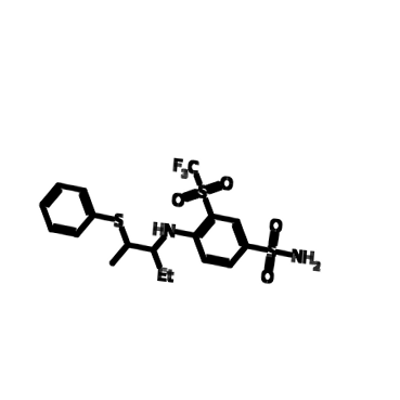 CCC(Nc1ccc(S(N)(=O)=O)cc1S(=O)(=O)C(F)(F)F)C(C)Sc1ccccc1